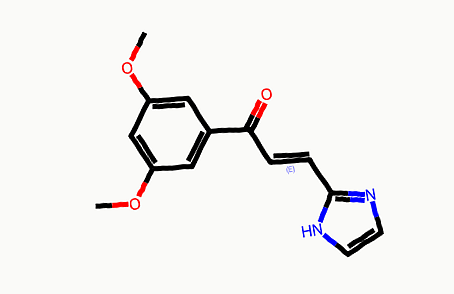 COc1cc(OC)cc(C(=O)/C=C/c2ncc[nH]2)c1